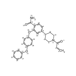 C=CC(=O)N1CCC(c2ccc(C(N)=O)c(Oc3ccc(Oc4ccccc4)cc3)n2)CC1